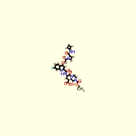 CCOC(=O)N1CCN(C(=O)C(CCC(=O)O)NC(=O)c2cc(OCC(=O)N3CCC3C(=O)NC3CCC3)c3ccc(F)cc3n2)CC1